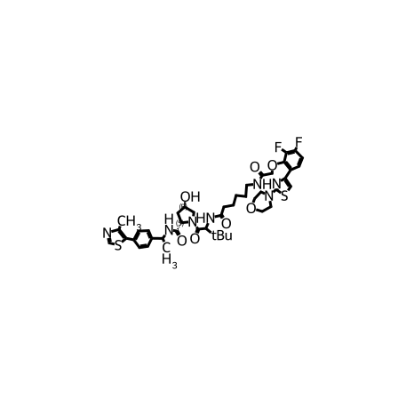 Cc1ncsc1-c1ccc(C(C)NC(=O)[C@@H]2C[C@@H](O)CN2C(=O)C(NC(=O)CCCCCNC(=O)COc2c(-c3csc(N4CCOCC4)n3)ccc(F)c2F)C(C)(C)C)cc1